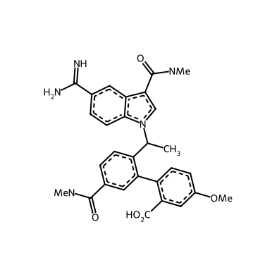 CNC(=O)c1ccc(C(C)n2cc(C(=O)NC)c3cc(C(=N)N)ccc32)c(-c2ccc(OC)cc2C(=O)O)c1